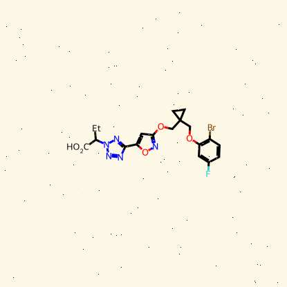 CCC(C(=O)O)n1nnc(-c2cc(OCC3(COc4cc(F)ccc4Br)CC3)no2)n1